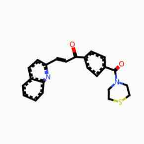 O=C(C=Cc1ccc2ccccc2n1)c1ccc(C(=O)N2CCSCC2)cc1